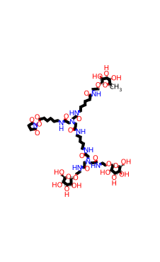 C[C@@H]1O[C@@H](OCCNC(=O)CCCCCNC(=O)CN(CC(=O)NCCCCCNC(=O)CN(CC(=O)NCCO[C@H]2O[C@H](CO)[C@@H](O)[C@H](O)[C@@H]2O)CC(=O)NCCO[C@H]2O[C@H](CO)[C@@H](O)[C@H](O)[C@@H]2O)CC(=O)NCCCCCC(=O)ON2C(=O)CCC2=O)[C@@H](O)[C@H](O)[C@@H]1O